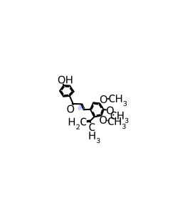 C=C(C)c1c(/C=C/C(=O)c2ccc(O)cc2)cc(OC)c(OC)c1OC